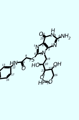 Nc1nc2c(nc(SCC(=O)Nc3ccccc3)n2CC(O)C2OPOCC2O)c(=O)[nH]1